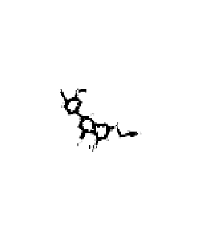 COc1cc(-c2cc(=O)c3c(O)cc(OCC#N)cc3o2)ccc1C